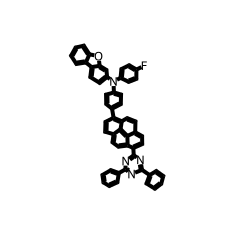 Fc1ccc(N(c2ccc(-c3ccc4ccc5c(-c6nc(-c7ccccc7)nc(-c7ccccc7)n6)ccc6ccc3c4c65)cc2)c2ccc3c(c2)oc2ccccc23)cc1